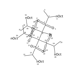 CCCCCCCCC(C)S(=O)(=O)C(Br)(C(S(=O)(=O)C(C)CCCCCCCC)(S(=O)(=O)C(C)CCCCCCCC)S(=O)(=O)C(C)CCCCCCCC)S(=O)(=O)C(C)CCCCCCCC